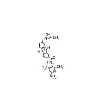 Cc1cnn(Cc2ccc3c(c2)[C@@H]2O[C@H]3c3ccc(C(=O)NCc4c(C)cc(N)nc4C)cc32)c1